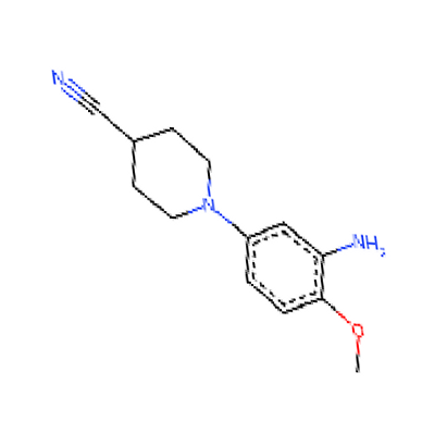 COc1ccc(N2CCC(C#N)CC2)cc1N